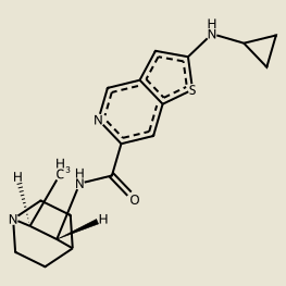 C[C@H]1[C@H](NC(=O)c2cc3sc(NC4CC4)cc3cn2)C2CCN1CC2